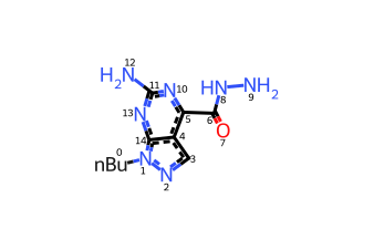 CCCCn1ncc2c(C(=O)NN)nc(N)nc21